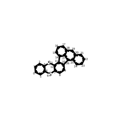 c1ccc2c(c1)Sc1ccc3c(c1S2)-c1cccc2cc4ccccc4c-3c12